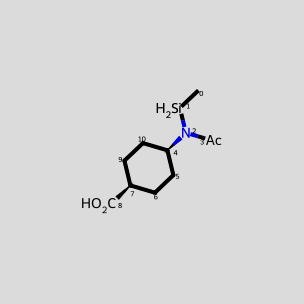 C[SiH2]N(C(C)=O)[C@H]1CC[C@@H](C(=O)O)CC1